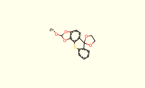 CC(C)OC1Oc2ccc3c(c2O1)Sc1ccccc1C31OCCO1